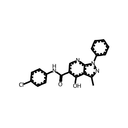 Cc1nn(-c2ccccc2)c2ncc(C(=O)Nc3ccc(Cl)cc3)c(O)c12